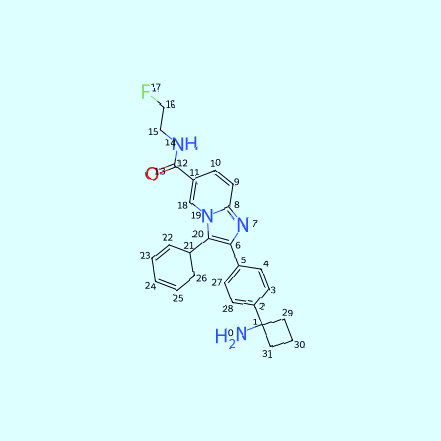 NC1(c2ccc(-c3nc4ccc(C(=O)NCCF)cn4c3C3C=CC=CC3)cc2)CCC1